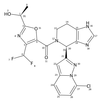 C[C@H](O)c1nc(C(F)F)c(C(=O)N2CCc3[nH]cnc3[C@H]2c2cc3cccc(Cl)n3n2)o1